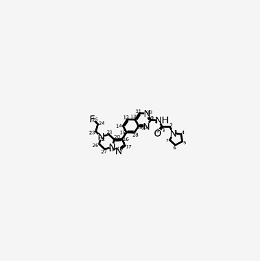 O=C(CN1CCCC1)Nc1ncc2ccc(-c3cnn4c3CN(CCF)CC4)cc2n1